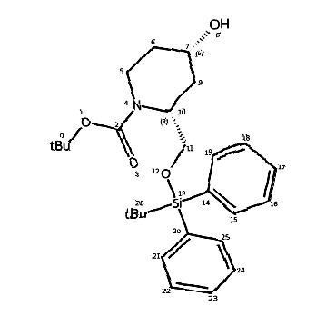 CC(C)(C)OC(=O)N1CC[C@H](O)C[C@@H]1CO[Si](c1ccccc1)(c1ccccc1)C(C)(C)C